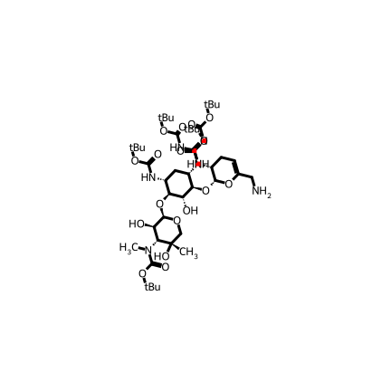 CN(C(=O)OC(C)(C)C)[C@@H]1[C@@H](O)[C@@H](O[C@@H]2[C@@H](O)[C@H](O[C@H]3OC(CN)=CC[C@H]3N/C(=N/C(=O)OC(C)(C)C)NC(=O)OC(C)(C)C)[C@@H](NC(=O)OC(C)(C)C)C[C@H]2NC(=O)OC(C)(C)C)OC[C@]1(C)O